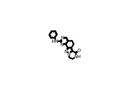 O=C1NCCn2nc3c(c21)CCc1cnc(Nc2ccccc2)nc1-3